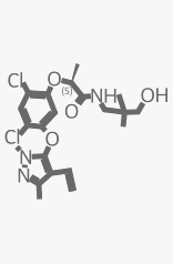 C=Cc1c(C)nn(C)c1Oc1cc(O[C@@H](C)C(=O)NCC(C)(C)CO)c(Cl)cc1Cl